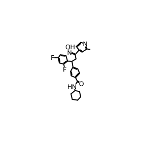 Cc1cc(/C(CC(c2ccc(C(=O)NC3CCCCC3)cc2)c2ccc(F)cc2F)=N\O)ccn1